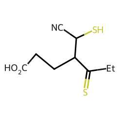 CCC(=S)C(CCC(=O)O)C(S)C#N